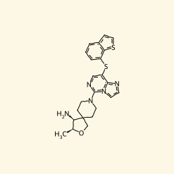 C[C@@H]1OCC2(CCN(c3ncc(Sc4cccc5ccsc45)c4nccn34)CC2)[C@@H]1N